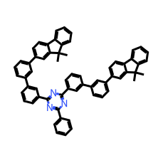 CC1(C)c2ccccc2-c2ccc(-c3cccc(-c4cccc(-c5nc(-c6ccccc6)nc(-c6cccc(-c7cccc(-c8ccc9c(c8)C(C)(C)c8ccccc8-9)c7)c6)n5)c4)c3)cc21